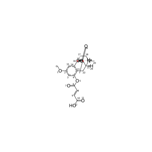 COc1cc(OC(=O)/C=C/C(=O)O)c2c(c1)[C@]13CCN(C)[C@H](C2)[C@@H]1OC(=O)OC3